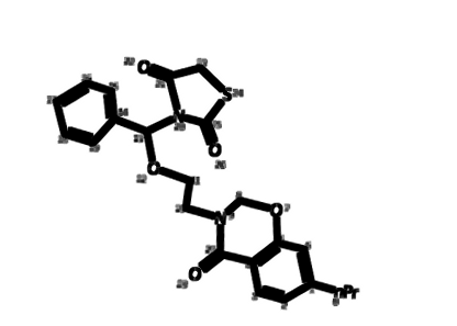 CCCc1ccc2c(c1)OCN(CCOC(c1ccccc1)N1C(=O)CSC1=O)C2=O